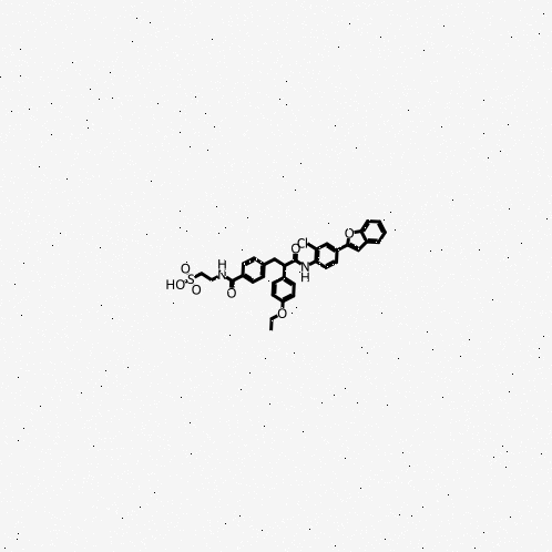 CCOc1ccc(C(Cc2ccc(C(=O)NCCS(=O)(=O)O)cc2)C(=O)Nc2ccc(-c3cc4ccccc4o3)cc2Cl)cc1